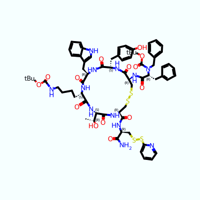 C[C@@H](O)[C@@H]1NC(=O)[C@H](CCCCNC(=O)OC(C)(C)C)NC(=O)[C@@H](Cc2c[nH]c3ccccc23)NC(=O)[C@H](Cc2ccc(O)cc2)NC(=O)[C@@H](NC(=O)[C@@H](Cc2ccccc2)N(Cc2ccccc2)C(=O)OC(C)(C)C)CSSC[C@@H](C(=O)N[C@@H](CSSc2ccccn2)C(N)=O)NC1=O